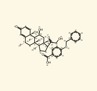 C[C@]12C=CC(=O)C=C1[C@@H](F)C[C@H]1[C@@H]3CC[C@@](C(=O)CO)(c4cc(OCc5ccccc5)ccc4C(=O)O)[C@@]3(C)C[C@H](O)[C@@]12F